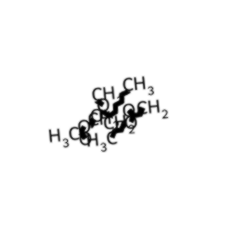 C=C(CCCCCC)C(=O)OCC.C=CC(=O)OCCCC.C=COC(C)=O